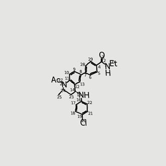 CCNC(=O)c1ccc(-c2ccc3c(c2)[C@@H](Nc2ccc(Cl)cc2)C[C@@H](C)N3C(C)=O)cc1